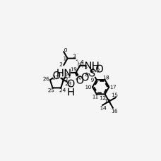 CC(C)C[C@H](NS(=O)(=O)c1ccc(C(C)(C)C)cc1)C(=O)NC1(O)CCCO1